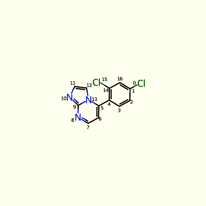 Clc1ccc(-c2ccnc3nccn23)c(Cl)c1